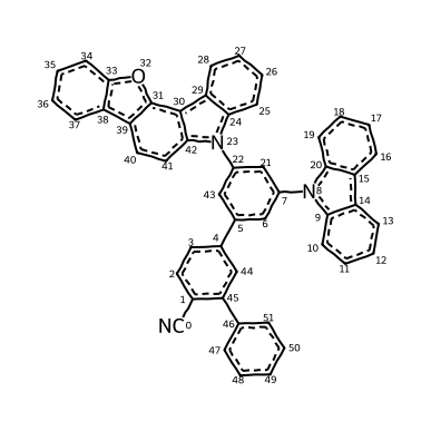 N#Cc1ccc(-c2cc(-n3c4ccccc4c4ccccc43)cc(-n3c4ccccc4c4c5oc6ccccc6c5ccc43)c2)cc1-c1ccccc1